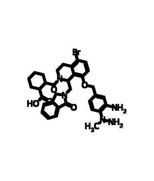 CN(N)c1ccc(COc2ccc(Br)c3c2C(CN2Cc4ccccc4C2=O)N(C(=O)C2CCCCC2C(=O)O)CC3)cc1N